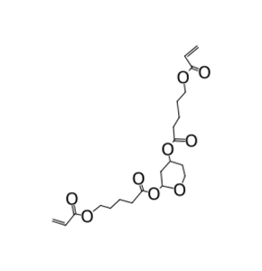 C=CC(=O)OCCCCC(=O)OC1CCOC(OC(=O)CCCCOC(=O)C=C)C1